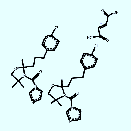 CC1(C)COC(C)(CCCc2ccc(Cl)cc2)N1C(=O)n1ccnc1.CC1(C)COC(C)(CCCc2ccc(Cl)cc2)N1C(=O)n1ccnc1.O=C(O)/C=C/C(=O)O